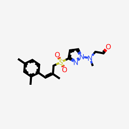 CC(=Cc1ccc(C)cc1C)CS(=O)(=O)c1ccn(N(C)CC=O)n1